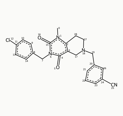 Cn1c2c(c(=O)n(Cc3ccc(Cl)cc3)c1=O)CN(Cc1cccc(C#N)c1)CC2